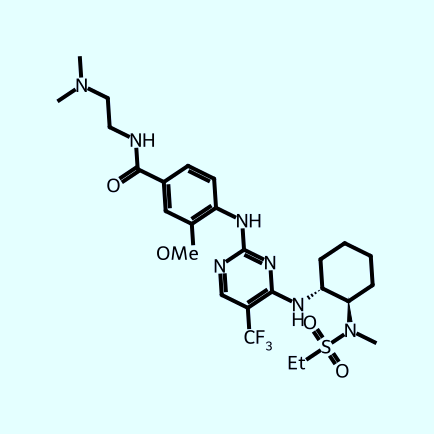 CCS(=O)(=O)N(C)[C@@H]1CCCC[C@H]1Nc1nc(Nc2ccc(C(=O)NCCN(C)C)cc2OC)ncc1C(F)(F)F